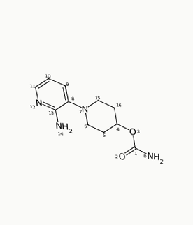 NC(=O)OC1CCN(c2cccnc2N)CC1